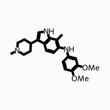 COc1ccc(Nc2ccc3c(C4CCN(C)CC4)c[nH]c3c2C)cc1OC